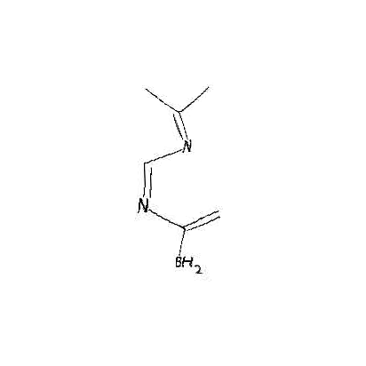 BC(=C)/N=C\N=C(C)C